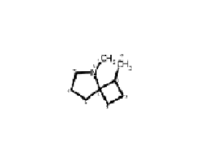 CC1CCC12CCCN2C